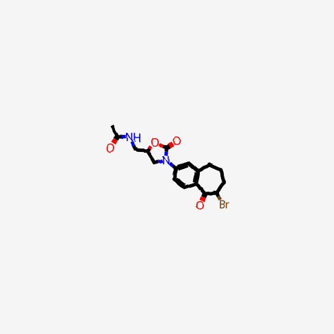 CC(=O)NCC1CN(c2ccc3c(c2)CCCC(Br)C3=O)C(=O)O1